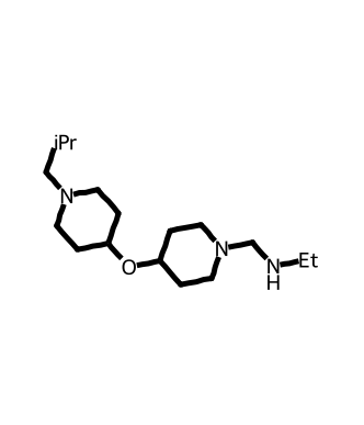 CCNCN1CCC(OC2CCN(CC(C)C)CC2)CC1